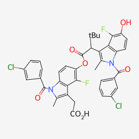 Cc1c(CC(=O)O)c2c(F)c(OC(=O)C(c3c(C)n(C(=O)c4cccc(Cl)c4)c4ccc(O)c(F)c34)C(C)(C)C)ccc2n1C(=O)c1cccc(Cl)c1